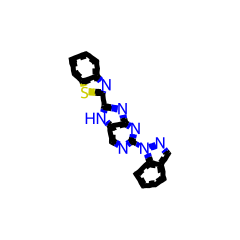 c1ccc2c(c1)cnn2-c1ncc2[nH]c(-c3nc4ccccc4s3)nc2n1